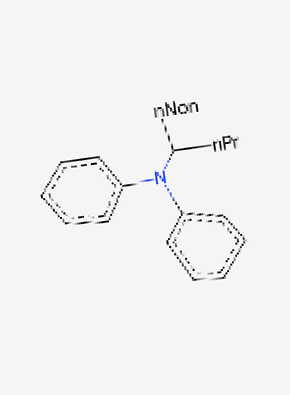 CCCCCCCCCC(CCC)N(c1ccccc1)c1ccccc1